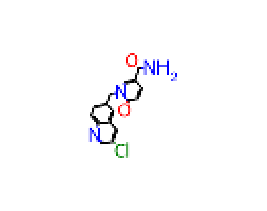 NC(=O)c1ccc(=O)n(Cc2ccc3ncc(Cl)cc3c2)c1